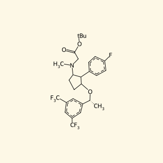 C[C@@H](OC1CCC(N(C)CC(=O)OC(C)(C)C)C1c1ccc(F)cc1)c1cc(C(F)(F)F)cc(C(F)(F)F)c1